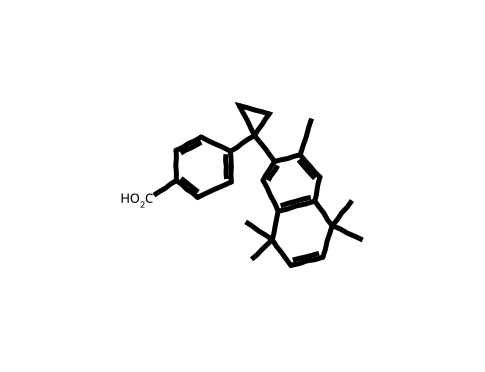 Cc1cc2c(cc1C1(c3ccc(C(=O)O)cc3)CC1)C(C)(C)C=CC2(C)C